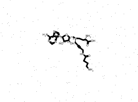 NCCCC(=O)NCC#CC[S@+](CC[C@H](N)C(=O)O)C[C@H]1O[C@@H](n2cnc3c(N)ncnc32)[C@H](O)[C@@H]1O